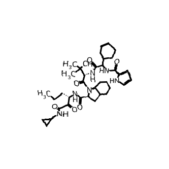 CCC[C@H](NC(=O)[C@@H]1CC2CCCCC2N1C(=O)[C@@H](NC(=O)C(NC(=O)c1ccc[nH]1)C1CCCCC1)C(C)(C)C)C(=O)C(=O)NC1CC1